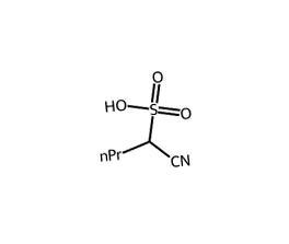 CCCC(C#N)S(=O)(=O)O